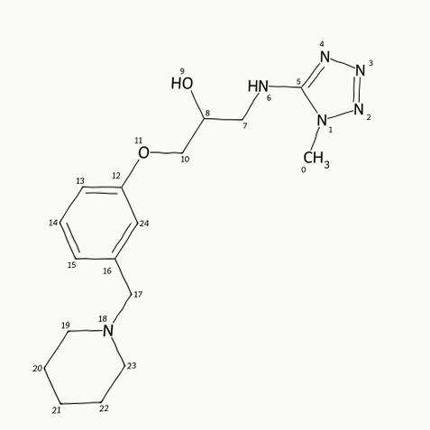 Cn1nnnc1NCC(O)COc1cccc(CN2CCCCC2)c1